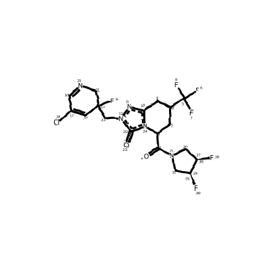 O=C(C1CC(C(F)(F)F)Cc2nn(CC3(F)C=C(Cl)C=NC3)c(=O)n21)N1C[C@@H](F)[C@@H](F)C1